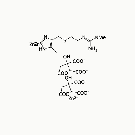 CNC(N)=NCCSCc1nc[nH]c1C.O=C([O-])CC(O)(CC(=O)[O-])C(=O)[O-].O=C([O-])CC(O)(CC(=O)[O-])C(=O)[O-].[Zn+2].[Zn+2].[Zn+2]